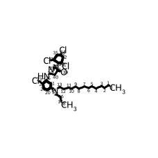 CCCCCCCCCCCCCCN(CCCC)c1ccc(Cl)c(NC2=NN(c3c(Cl)cc(Cl)cc3Cl)C(=O)C2)c1